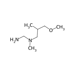 COCC(C)CN(C)CN